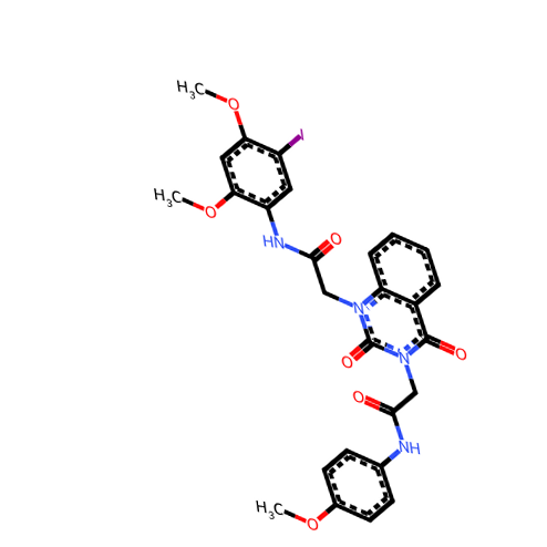 COc1ccc(NC(=O)Cn2c(=O)c3ccccc3n(CC(=O)Nc3cc(I)c(OC)cc3OC)c2=O)cc1